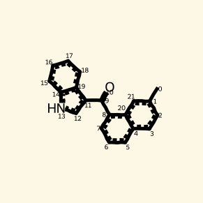 Cc1ccc2cccc(C(=O)c3c[nH]c4ccccc34)c2c1